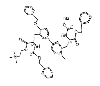 Cc1ccc(-c2ccc(OCc3ccccc3)c(C[C@H](NC(=O)OCc3ccccc3)C(=O)OCC[Si](C)(C)C)c2)cc1C[C@H](NC(=O)OC(C)(C)C)C(=O)OCc1ccccc1